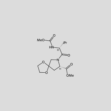 COC(=O)N[C@@H](C(=O)N1CC2(C[C@H]1C(=O)OC)OCCO2)C(C)C